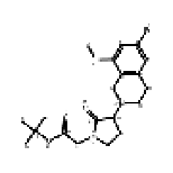 COc1cc(Br)cc2c1CN(C1CCN(CC(=O)OC(C)(C)C)C1=O)CC2